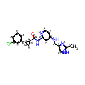 Cc1nc(CNc2ccnc(NC(=O)[C@H]3C[C@@H]3c3cccc(Cl)c3)c2)c[nH]1